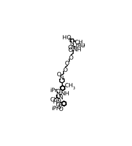 Cc1cc(Nc2ncc(Cl)c(Nc3ccccc3S(=O)(=O)C(C)C)n2)c(OC(C)C)cc1C1CCN(C(=O)CCOCCOCCOCCC(=O)N[C@H](C(=O)N2C[C@H](O)C[C@H]2C)C(C)(C)C)CC1